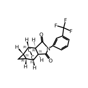 O=C1[C@@H]2[C@@H]3CC[C@@H]([C@@H]4C[C@@H]43)[C@@H]2C(=O)N1c1cccc(C(F)(F)F)c1